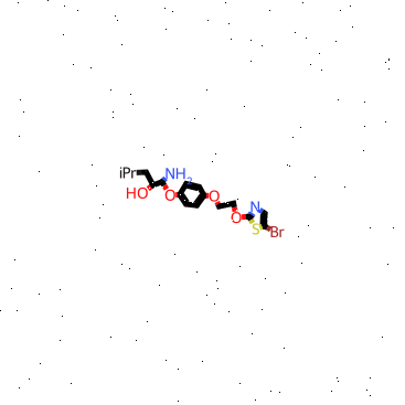 CC(C)CC(O)C(N)Oc1ccc(OCCOc2ncc(Br)s2)cc1